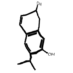 CC(C)c1cc2c(cc1O)CC(O)C=C2